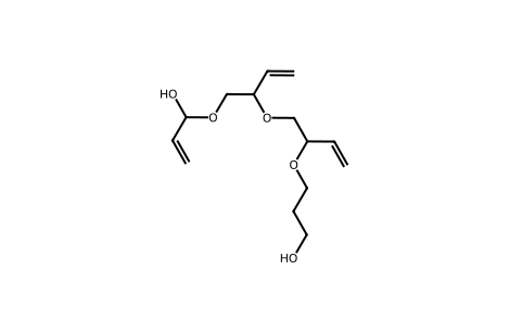 C=CC(O)OCC(C=C)OCC(C=C)OCCCO